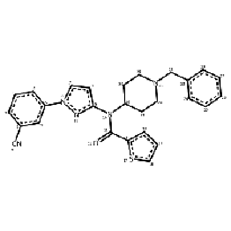 N#Cc1cccc(-n2ccc(N(C(=O)c3cccs3)C3CCN(Cc4ccccc4)CC3)n2)c1